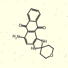 Nc1cc2c(c3c1C(=O)c1ccccc1C3=O)NC1(CCOCC1)N2